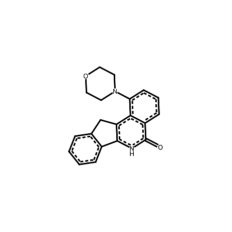 O=c1[nH]c2c(c3c(N4CCOCC4)cccc13)Cc1ccccc1-2